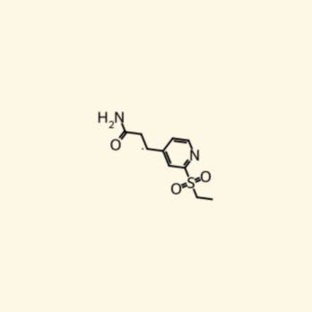 CCS(=O)(=O)c1cc([CH]CC(N)=O)ccn1